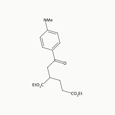 CCOC(=O)CCC(CC(=O)c1ccc(NC)cc1)C(=O)OCC